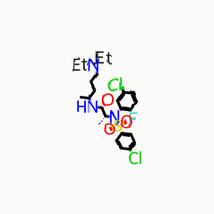 CCN(CC)CCCC(C)NC(=O)[C@@H](C)N(c1cc(Cl)ccc1F)S(=O)(=O)c1ccc(Cl)cc1